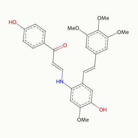 COc1cc(NC=CC(=O)c2ccc(O)cc2)c(C=Cc2cc(OC)c(OC)c(OC)c2)cc1O